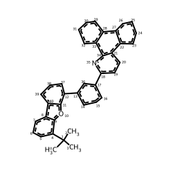 CC(C)(C)c1cccc2c1oc1c(-c3cccc(-c4ccc5c6ccccc6c6ccccc6c5n4)c3)cccc12